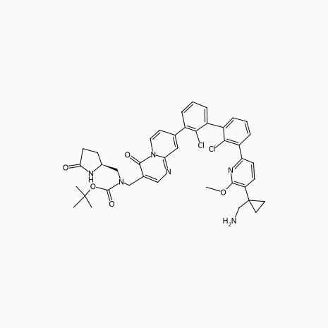 COc1nc(-c2cccc(-c3cccc(-c4ccn5c(=O)c(CN(C[C@@H]6CCC(=O)N6)C(=O)OC(C)(C)C)cnc5c4)c3Cl)c2Cl)ccc1C1(CN)CC1